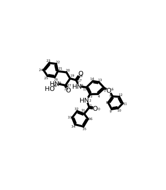 O=C(Nc1cc(Oc2ccccc2)ccc1NC(=O)C(Cc1ccccc1)C(=O)NO)c1ccccc1